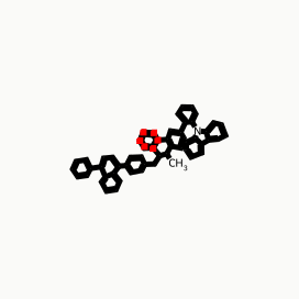 CC(c1ccc(-c2ccccc2-n2c3ccccc3c3ccccc32)cc1-c1ccccc1)C(Cc1ccc(-c2ccc(-c3ccccc3)c3ccccc23)cc1)c1ccccc1